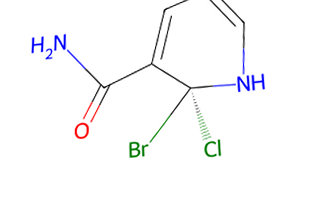 NC(=O)C1=CC=CN[C@@]1(Cl)Br